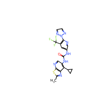 Cc1nc2c(C3CC3)c(NC(=O)Nc3cnc(-n4nccn4)c(C(F)(F)F)c3)cnc2s1